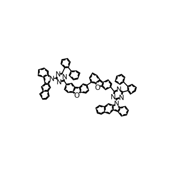 c1ccc(-c2ccccc2-c2nc(-c3ccc4c(c3)oc3c(-c5ccc6oc7ccc(-c8nc(-c9ccccc9-c9ccccc9)nc(-n9c%10ccccc%10c%10cc%11ccccc%11cc%109)n8)cc7c6c5)cccc34)nc(-n3c4ccccc4c4cc5ccccc5cc43)n2)cc1